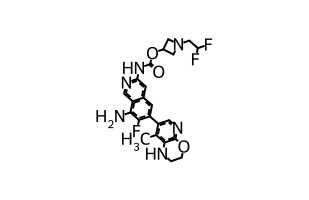 Cc1c(-c2cc3cc(NC(=O)OC4CN(CC(F)F)C4)ncc3c(N)c2F)cnc2c1NCCO2